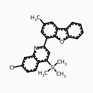 Cc1cc(-c2cc([Si](C)(C)C)c3ccc(Cl)cc3n2)c2oc3ccccc3c2c1